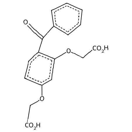 O=C(O)COc1ccc(C(=O)c2ccccc2)c(OCC(=O)O)c1